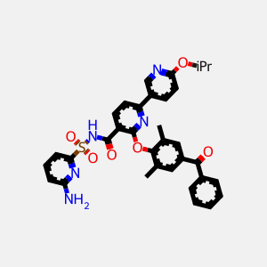 Cc1cc(C(=O)c2ccccc2)cc(C)c1Oc1nc(-c2ccc(OC(C)C)nc2)ccc1C(=O)NS(=O)(=O)c1cccc(N)n1